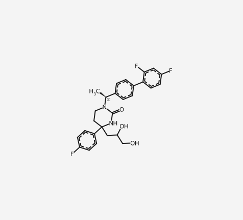 C[C@@H](c1ccc(-c2ccc(F)cc2F)cc1)N1CCC(CC(O)CO)(c2ccc(F)cc2)NC1=O